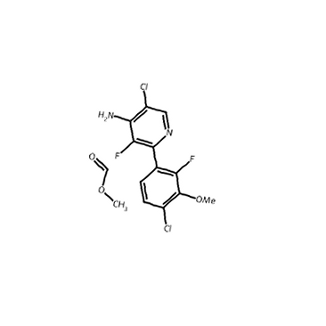 COC=O.COc1c(Cl)ccc(-c2ncc(Cl)c(N)c2F)c1F